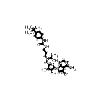 CC(C)N(CCCNC(=O)Nc1ccc(C(C)(C)C)cc1)C[C@H]1O[C@@H](n2cc(Br)c3c(N)ncnc32)[C@H](O)[C@@H]1O